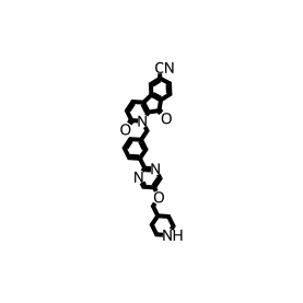 N#Cc1ccc2c(c1)-c1ccc(=O)n(Cc3cccc(-c4ncc(OCC5CCNCC5)cn4)c3)c1C2=O